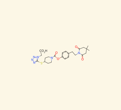 CC1(C)CC(=O)N(CCc2ccc(OC(=O)N3CCC(Sc4nnnn4CC(=O)O)CC3)cc2)C(=O)C1